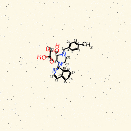 Cc1ccc(CN2CCN(c3nccc4ccccc34)CC2)cc1.O=C(O)C(=O)O